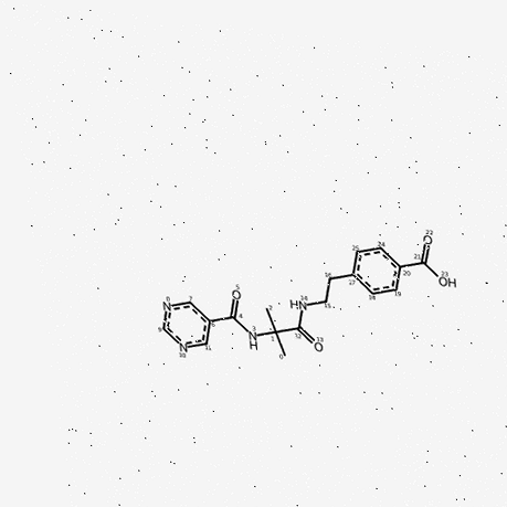 CC(C)(NC(=O)c1cncnc1)C(=O)NCCc1ccc(C(=O)O)cc1